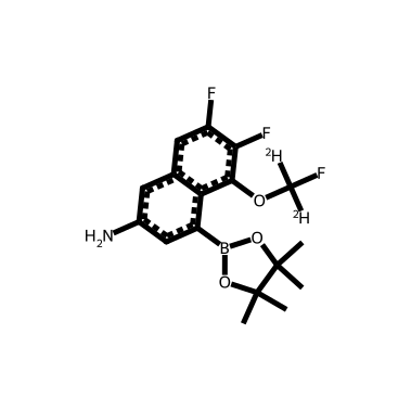 [2H]C([2H])(F)Oc1c(F)c(F)cc2cc(N)cc(B3OC(C)(C)C(C)(C)O3)c12